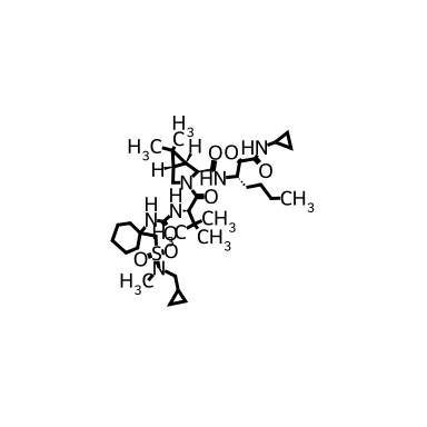 CCCC[C@H](NC(=O)[C@@H]1[C@@H]2[C@H](CN1C(=O)[C@@H](NC(=O)NC1(CS(=O)(=O)N(C)CC3CC3)CCCCC1)C(C)(C)C)C2(C)C)C(=O)C(=O)NC1CC1